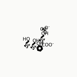 C[N+](C)(C)CCO.C[N+](C)(C)CCO.C[N+](C)(C)CCO.O=C([O-])c1ccccc1O.O=S([O-])[O-]